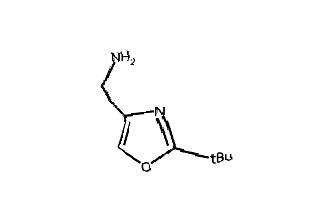 CC(C)(C)c1nc(CN)co1